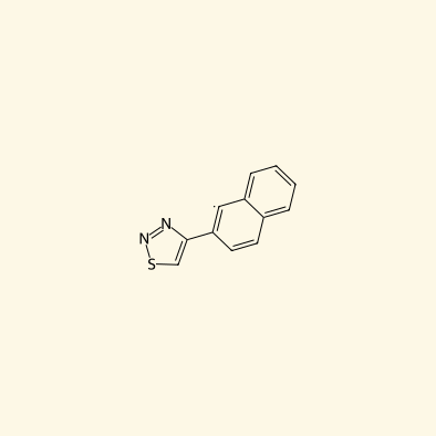 [c]1c(-c2csnn2)ccc2ccccc12